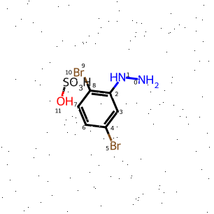 NNc1cc(Br)ccc1Br.O=S(=O)(O)O